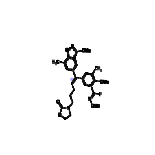 CON=C(F)c1cc(/C(=C\CCCN2CCOC2=O)c2cc(C)c3onc(OC)c3c2)cc(C)c1OC